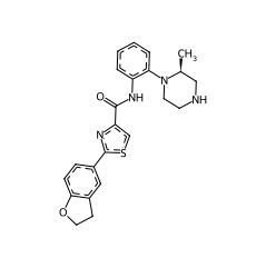 C[C@H]1CNCCN1c1ccccc1NC(=O)c1csc(-c2ccc3c(c2)CCO3)n1